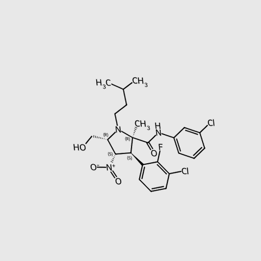 CC(C)CCN1[C@@H](CO)[C@@H]([N+](=O)[O-])[C@H](c2cccc(Cl)c2F)[C@]1(C)C(=O)Nc1cccc(Cl)c1